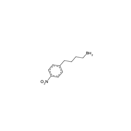 BCCCCc1ccc([N+](=O)[O-])cc1